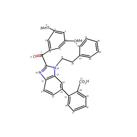 COc1cc(OC)cc(C(=O)c2nc3ccc(-c4ccccc4C(=O)O)cc3n2CCc2ccccc2)c1